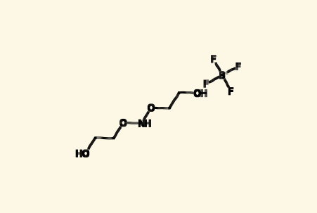 F[B-](F)(F)F.OCCONOCCO